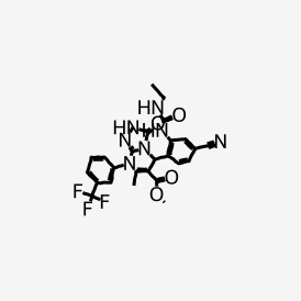 CCNC(=O)Nc1cc(C#N)ccc1C1C(C(=O)OC)=C(C)N(c2cccc(C(F)(F)F)c2)c2n[nH]c(=O)n21